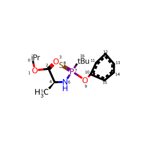 CC(C)OC(=O)[C@H](C)NP(=S)(Oc1ccccc1)C(C)(C)C